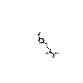 O=Cc1csc(SCCC(F)=C(F)F)n1